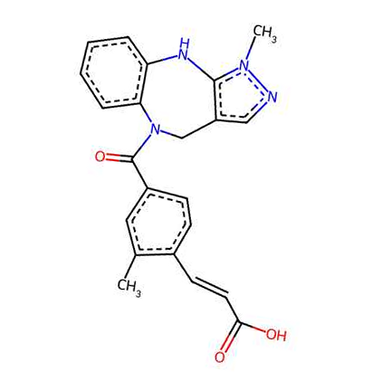 Cc1cc(C(=O)N2Cc3cnn(C)c3Nc3ccccc32)ccc1C=CC(=O)O